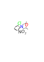 CC1CN(c2c(Cl)cccc2[N+](=O)[O-])CC(C)O1